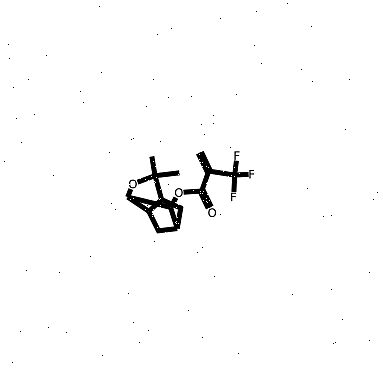 C=C(C(=O)OC1C2CC3C1OC(C)(C)C3C2)C(F)(F)F